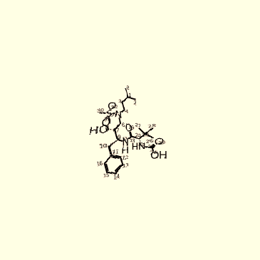 CC(C)CCN(C[C@@H](O)[C@H](Cc1ccccc1)NC(=O)[C@@H](NC(=O)O)C(C)(C)C)S(C)(=O)=O